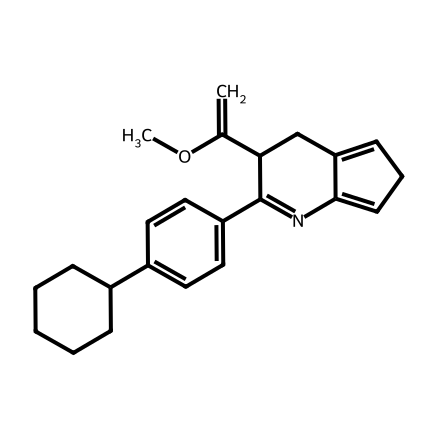 C=C(OC)C1CC2=CCC=C2N=C1c1ccc(C2CCCCC2)cc1